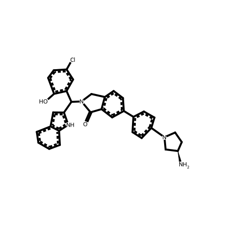 N[C@@H]1CCN(c2ccc(-c3ccc4c(c3)C(=O)N(C(c3cc5ccccc5[nH]3)c3cc(Cl)ccc3O)C4)cc2)C1